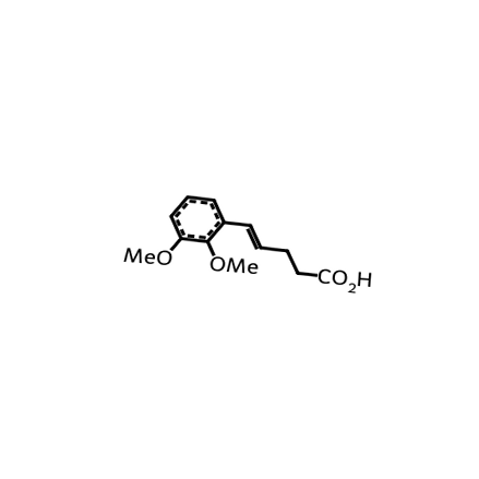 COc1cccc(C=CCCC(=O)O)c1OC